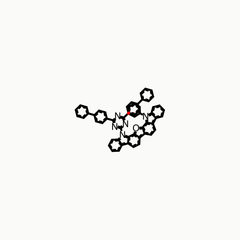 c1ccc(-c2ccc(-c3nc(-c4ccc(-c5ccccc5)cc4)nc(-n4c5ccccc5c5ccc6c7ccc8c9ccccc9n(-c9ccccc9)c8c7oc6c54)n3)cc2)cc1